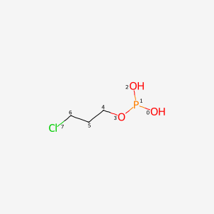 OP(O)OCCCCl